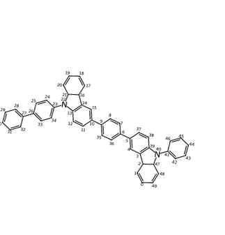 C1=CC2c3cc(-c4ccc(-c5ccc6c(c5)C5C=CC=CC5N6c5ccc(-c6ccccc6)cc5)cc4)ccc3N(c3ccccc3)C2C=C1